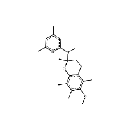 COc1c(C)c(C)c2c(c1C)CCC(C)(N(C)c1cc(C)cc(C)n1)O2